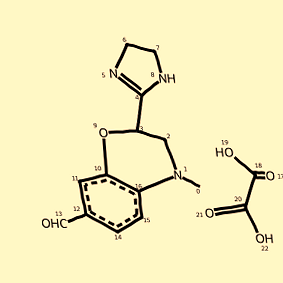 CN1CC(C2=NCCN2)Oc2cc(C=O)ccc21.O=C(O)C(=O)O